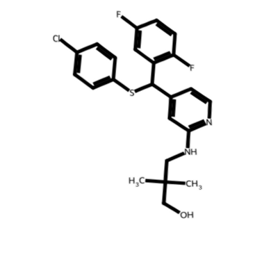 CC(C)(CO)CNc1cc(C(Sc2ccc(Cl)cc2)c2cc(F)ccc2F)ccn1